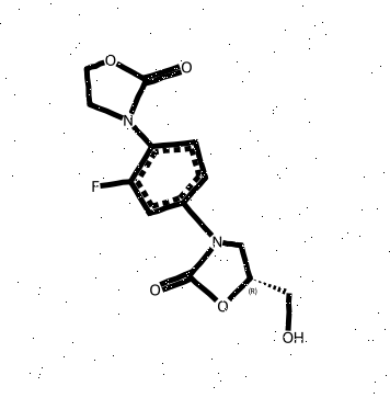 O=C1O[C@@H](CO)CN1c1ccc(N2CCOC2=O)c(F)c1